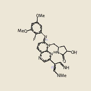 CN/C=C(\C=N)c1cnc2cc/c(=N\c3cc(OC)cc(OC)c3F)n(CC3CC(O)C(=O)N3)c2n1